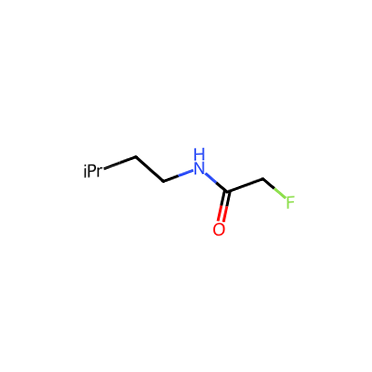 CC(C)CCNC(=O)CF